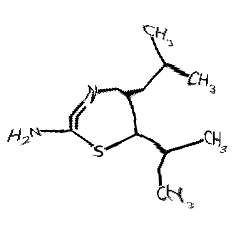 CC(C)C1N=C(N)SC1C(C)C